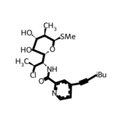 CCC(C)C#Cc1ccnc(C(=O)N[C@@H]([C@H]2O[C@H](SC)[C@H](C)[C@@H](O)[C@H]2O)[C@H](C)Cl)c1